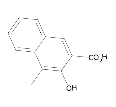 Cc1c(O)c(C(=O)O)cc2ccccc12